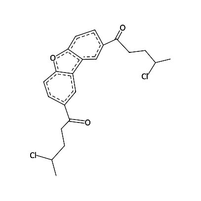 CC(Cl)CCC(=O)c1ccc2oc3ccc(C(=O)CCC(C)Cl)cc3c2c1